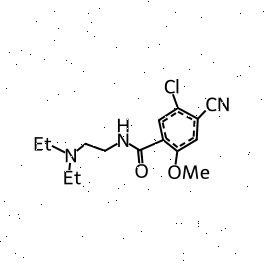 CCN(CC)CCNC(=O)c1cc(Cl)c(C#N)cc1OC